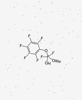 COP(O)(F)(F)Oc1c(F)c(F)c(F)c(F)c1F